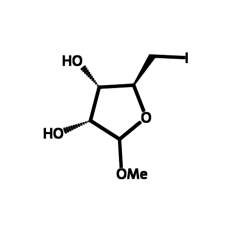 COC1O[C@H](CI)[C@@H](O)[C@H]1O